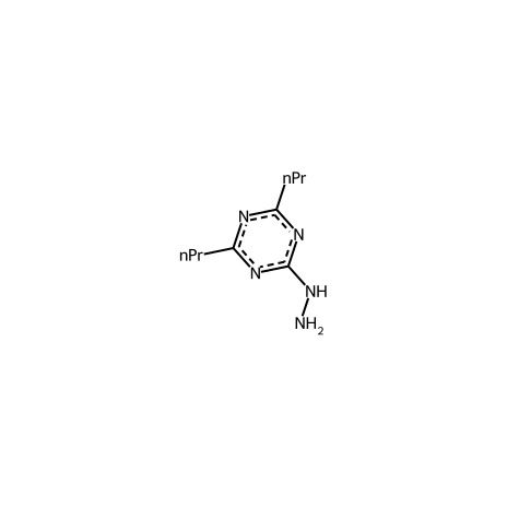 CCCc1nc(CCC)nc(NN)n1